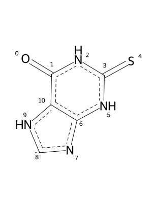 O=c1[nH]c(=S)[nH]c2n[c][nH]c12